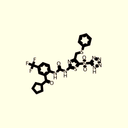 O=C(Nc1nc(CSc2ccccc2)c(S(=O)(=O)c2nnn[nH]2)s1)Nc1ccc(C(F)(F)F)cc1C(=O)C1CCCC1